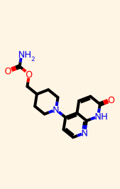 NC(=O)OCC1CCN(c2ccnc3[nH]c(=O)ccc23)CC1